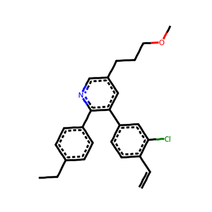 C=Cc1ccc(-c2cc(CCCOC)cnc2-c2ccc(CC)cc2)cc1Cl